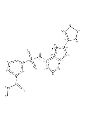 COC(=O)c1cccc(S(=O)(=O)Nc2cccc3cc(C4=NCCS4)[nH]c23)c1